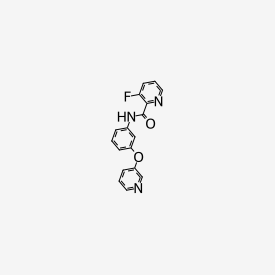 O=C(Nc1cccc(Oc2cccnc2)c1)c1ncccc1F